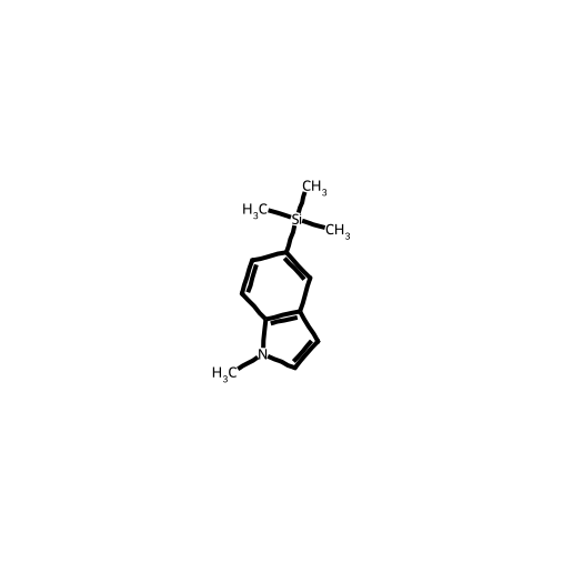 Cn1ccc2cc([Si](C)(C)C)ccc21